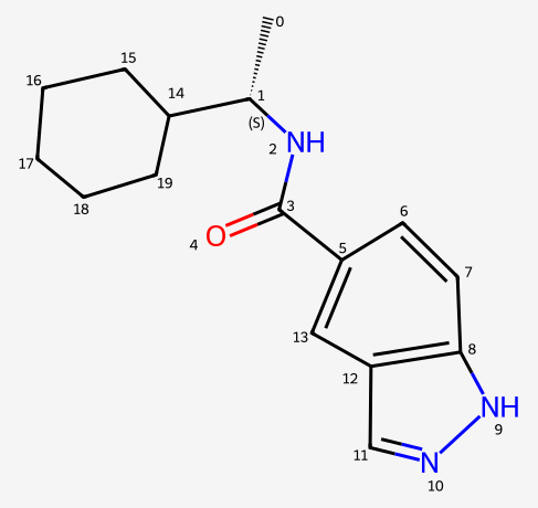 C[C@H](NC(=O)c1ccc2[nH]ncc2c1)C1CCCCC1